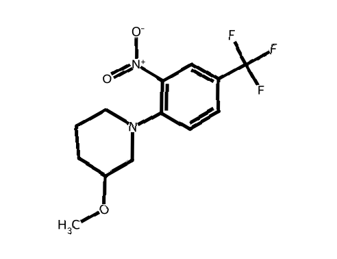 COC1CCCN(c2ccc(C(F)(F)F)cc2[N+](=O)[O-])C1